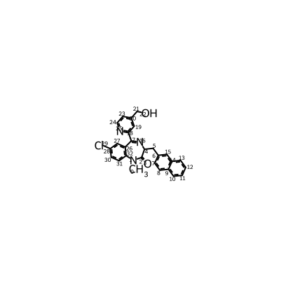 CN1C(=O)C(Cc2ccc3ccccc3c2)N=C(c2cc(CO)ccn2)c2cc(Cl)ccc21